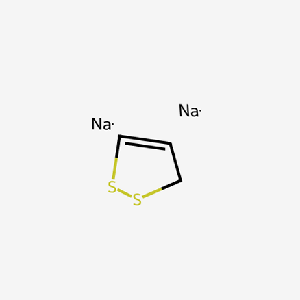 C1=CSSC1.[Na].[Na]